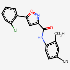 N#Cc1ccc(NC(=O)c2cc(-c3ccccc3Cl)on2)c(C(=O)O)c1